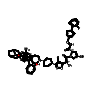 CC(C)[C@@H](C(=O)N1C[C@H](O)C[C@H]1C(=O)NOc1ccc(-c2ccccc2F)cc1)c1onc([C@H]2CC[C@@H](N3CCC(c4cnc(N5C6CCC5CN(c5cc(-c7ccccc7O)nnc5N)C6)nc4)CC3)CC2)c1Cl